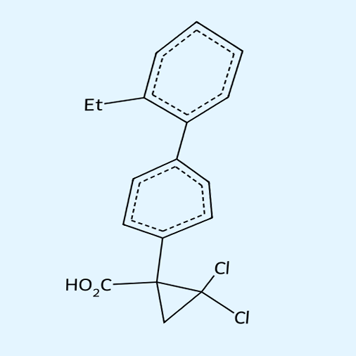 CCc1ccccc1-c1ccc(C2(C(=O)O)CC2(Cl)Cl)cc1